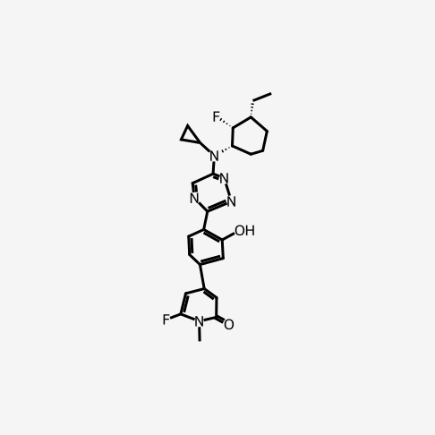 CC[C@@H]1CCC[C@H](N(c2cnc(-c3ccc(-c4cc(F)n(C)c(=O)c4)cc3O)nn2)C2CC2)[C@@H]1F